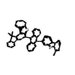 Cc1cccc2c1oc1cc(-c3c4ccccc4c(-c4cc5c(c6c4oc4ccccc46)C(C)(C)c4ccccc4-5)c4ccccc34)ccc12